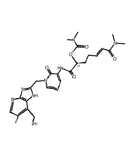 CC(C)Cc1c(F)cnc2nc(Cn3cccc(NC(=O)[C@H](CC/C=C/C(=O)N(C)C)OC(=O)N(C)C)c3=O)[nH]c12